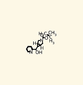 CC(C)(C)OC(=O)N1C[C@@H]2C(C(O)c3ccccn3)[C@@H]2C1